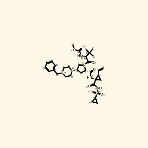 C=C[C@H]1C[C@]1(NC(=O)[C@@H]1C[C@@H](N2CCN(Cc3ccccc3)CC2)CN1C(=O)[C@@H](NC(=O)OC)C(C)(C)C)C(=O)NS(=O)(=O)C1CC1